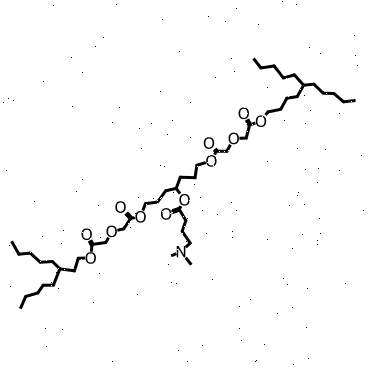 CCCCCC(CCCCC)CCCCOC(=O)COCC(=O)OCCCC(CCCOC(=O)COCC(=O)OCCC(CCCCC)CCCCC)OC(=O)CCCN(C)C